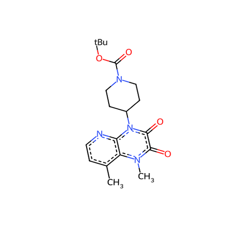 Cc1ccnc2c1n(C)c(=O)c(=O)n2C1CCN(C(=O)OC(C)(C)C)CC1